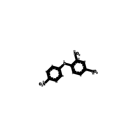 O=[N+]([O-])c1ccc(Oc2ccc([N+](=O)[O-])cc2[N+](=O)[O-])cc1